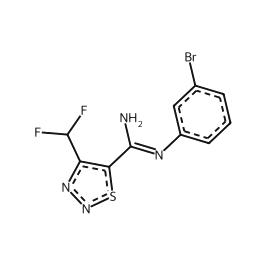 NC(=Nc1cccc(Br)c1)c1snnc1C(F)F